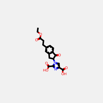 CCOC(=O)CCc1ccc2c(c1)CC(n1cc(C(=O)O)nc1C(=O)O)C2=O